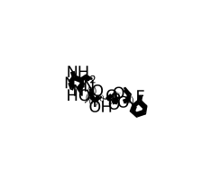 C[C@@]1(O)[C@H](O)[C@@H](CO[P@@]2(=O)OCC[C@@H](c3ccccc3F)O2)O[C@H]1n1ccc2c(N)ncnc21